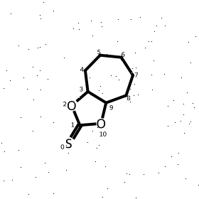 S=C1OC2CCCCCC2O1